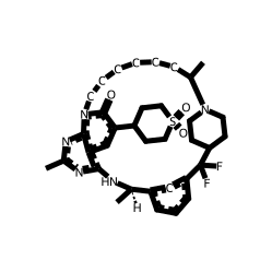 Cc1nc2c3cc(C4CCS(=O)(=O)CC4)c(=O)n(c3n1)CCCCCCC(C)N1CCC(CC1)C(F)(F)c1cccc(c1)[C@@H](C)N2